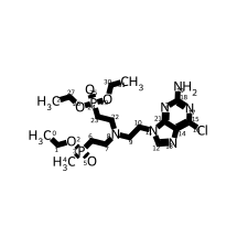 CCOP(C)(=O)CCN(CCn1cnc2c(Cl)nc(N)nc21)CCP(=O)(OCC)OCC